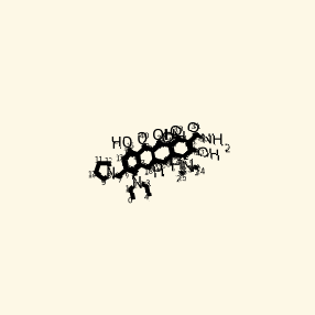 CCN(CC)c1c(CN2CCCC2)cc(O)c2c1C[C@H]1C[C@H]3[C@H](N(C)C)C(O)=C(C(N)=O)C(=O)[C@@]3(O)C(O)=C1C2=O